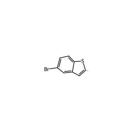 Brc1ccc2s[c]cc2c1